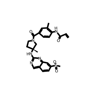 C=CC(=O)Nc1ccc(C(=O)N2CC[C@@](C)(Nc3ncc4ccc(S(C)(=O)=O)cc4n3)C2)cc1C